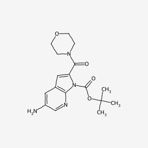 CC(C)(C)OC(=O)n1c(C(=O)N2CCOCC2)cc2cc(N)cnc21